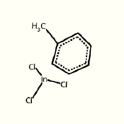 Cc1ccccc1.[Cl][In]([Cl])[Cl]